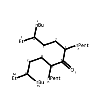 CCCCCC(CCC(CC)CCCC)C(=O)C(CCCCC)CCC(CC)CCCC